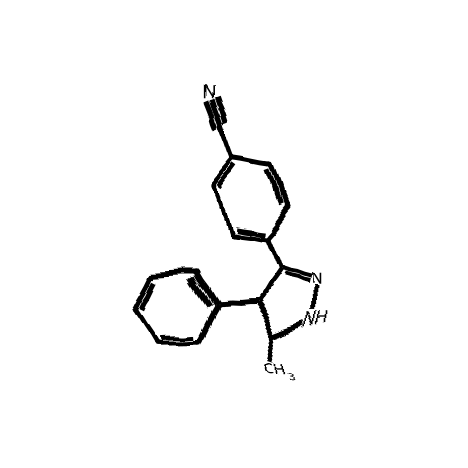 CC1NN=C(c2ccc(C#N)cc2)C1c1ccccc1